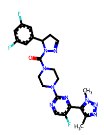 Cc1nnn(C)c1-c1nc(N2CCN(C(=O)N3N=CCC3c3cc(F)cc(F)c3)CC2)ncc1F